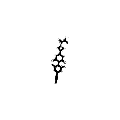 CC#Cc1cc(C)c(C2C(=O)CC(C3CN(C(=O)C(F)F)C3)CC2=O)c(C)c1